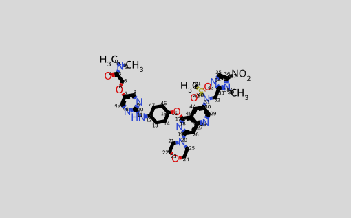 CN(C)C(=O)COc1cnc(NC2CCC(Oc3nc(N4CCOCC4)cc4ncc(N(Cc5ncc([N+](=O)[O-])n5C)S(C)(=O)=O)cc34)CC2)nc1